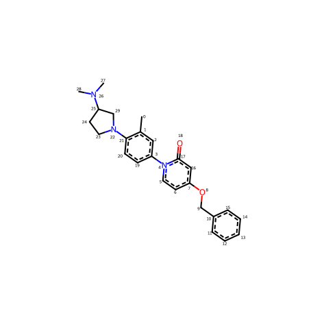 Cc1cc(-n2ccc(OCc3ccccc3)cc2=O)ccc1N1CCC(N(C)C)C1